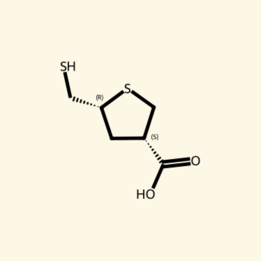 O=C(O)[C@H]1CS[C@@H](CS)C1